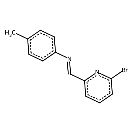 Cc1ccc(N=Cc2cccc(Br)n2)cc1